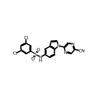 N#Cc1cnc(-n2ccc3cc(NS(=O)(=O)c4cc(Cl)cc(Cl)c4)ccc32)cn1